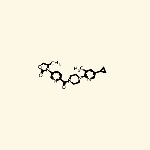 Cc1cc(C2CC2)cnc1N1CCN(C(=O)c2ccc(N3C(=O)OCC3C)cn2)CC1